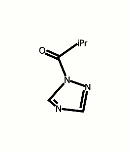 CC(C)C(=O)n1cncn1